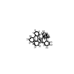 c1ccc(-c2cccc(-c3ccccc3)c2N2B3N(c4ccccc4-c4nccn43)c3ccccc32)cc1